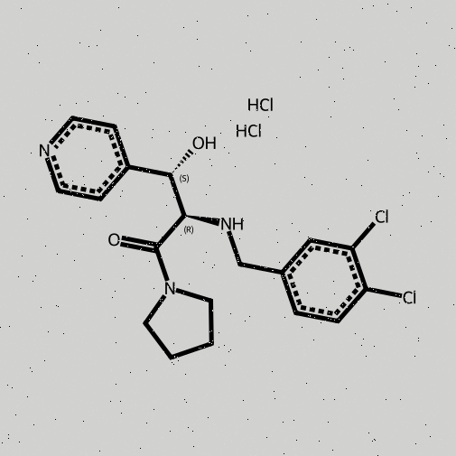 Cl.Cl.O=C([C@H](NCc1ccc(Cl)c(Cl)c1)[C@@H](O)c1ccncc1)N1CCCC1